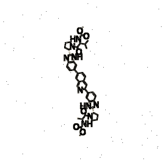 COC(=O)NC(C)C(=O)N1CCC[C@H]1c1nc2ccc(-c3cc4ccc(-c5ccc6nc([C@@H]7CCCN7C(=O)[C@@H](NC(=O)OC)C(C)C)[nH]c6c5)cc4cn3)cc2[nH]1